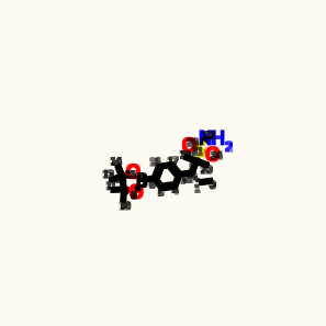 CC[C@H](c1ccc(B2OC(C)(C)C(C)(C)O2)cc1)C(C)(C)S(N)(=O)=O